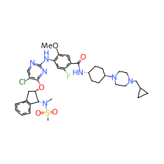 COc1cc(C(=O)N[C@H]2CC[C@H](N3CCN(CC4CC4)CC3)CC2)c(F)cc1Nc1ncc(Cl)c(O[C@@H]2Cc3ccccc3[C@H]2N(C)S(C)(=O)=O)n1